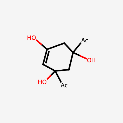 CC(=O)C1(O)C=C(O)CC(O)(C(C)=O)C1